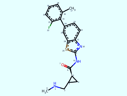 CNCC1C[C@@H]1C(=O)Nc1nc2ccc(-c3c(C)cccc3F)cc2s1